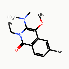 CCCCOc1c(N(C)C(=O)O)n(CC(C)C)c(=O)c2ccc(C(C)=O)cc12